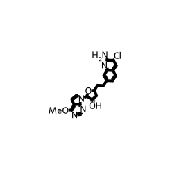 COc1ncnc2c1ccn2C1OC(CCc2ccc3cc(Cl)c(N)nc3c2)C[C@H]1O